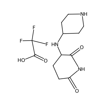 O=C(O)C(F)(F)F.O=C1CCC(NC2CCNCC2)C(=O)N1